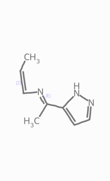 C/C=C\N=C(/C)c1ccn[nH]1